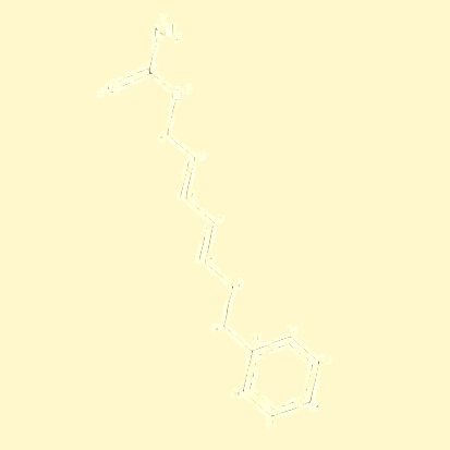 NC(=O)OC/C=C/C=C/CCc1ccccc1